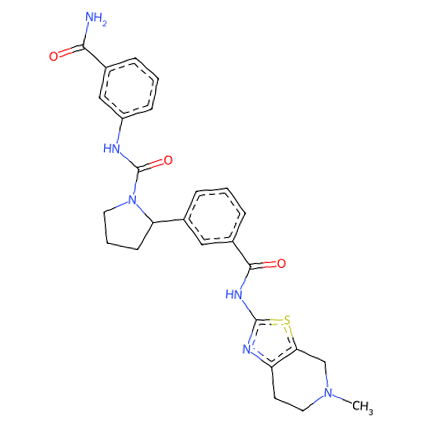 CN1CCc2nc(NC(=O)c3cccc(C4CCCN4C(=O)Nc4cccc(C(N)=O)c4)c3)sc2C1